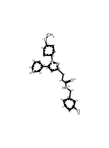 COc1ccc(-n2nc(CCC(=O)NCc3cccc(Cl)c3)cc2-c2cccnc2)cc1